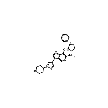 Nc1ncc2c(-c3cnn(C4CCNCC4)c3)coc2c1O[C@H]1CCC[C@H]1c1ccccc1